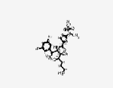 CC(c1cc(F)cc(F)c1)C(NC(=O)c1csc(N(C)S(C)(=O)=O)n1)C(O)C(O)CCCS